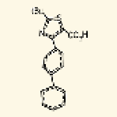 CC(C)(C)c1nc(-c2ccc(-c3ccccc3)cc2)c(C(=O)O)s1